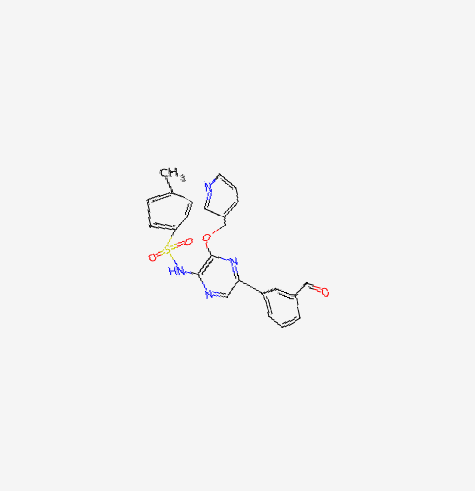 Cc1ccc(S(=O)(=O)Nc2ncc(-c3cccc(C=O)c3)nc2OCc2cccnc2)cc1